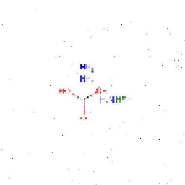 F.N.N.N.O=C(O)O